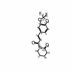 O=C(/C=C/c1ccc2c(c1)OC(F)(F)O2)N1CCCCC1=O